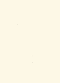 CCOC(=O)CCC(=O)Nc1cccc(/C=C/c2nc(C3CCC3)cs2)c1